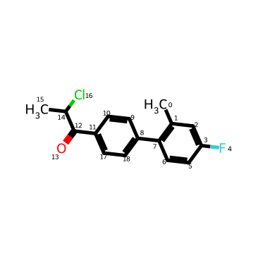 Cc1cc(F)ccc1-c1ccc(C(=O)C(C)Cl)cc1